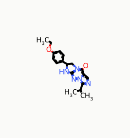 CCOc1ccc(C2Cn3c(nn4c(C(C)C)ncc4c3=O)N2)cc1